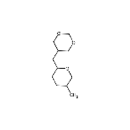 CC1CCC(CC2COCOC2)OC1